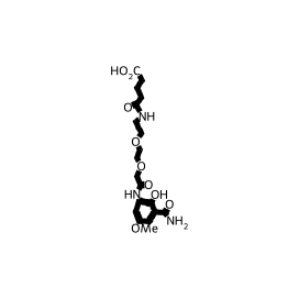 COc1ccc(NC(=O)COCCOCCNC(=O)CCCC(=O)O)c(O)c1C(N)=O